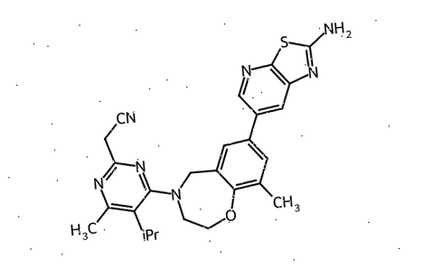 Cc1cc(-c2cnc3sc(N)nc3c2)cc2c1OCCN(c1nc(CC#N)nc(C)c1C(C)C)C2